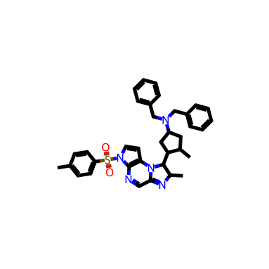 Cc1ccc(S(=O)(=O)n2ccc3c2N=CC2=NC(C)C(C4CC(N(Cc5ccccc5)Cc5ccccc5)CC4C)N23)cc1